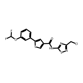 O=C(Nc1nc(CCl)ns1)c1csc(-c2cccc(OC(F)F)c2)c1